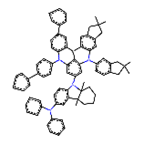 CC1(C)Cc2ccc(N3c4cc5c(cc4B4c6cc(-c7ccccc7)ccc6N(c6ccc(-c7ccccc7)cc6)c6cc(N7c8ccc(N(c9ccccc9)c9ccccc9)cc8C8(C)CCCCC78C)cc3c64)CC(C)(C)C5)cc2C1